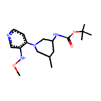 CONc1cnccc1N1CC(C)CC(NC(=O)OC(C)(C)C)C1